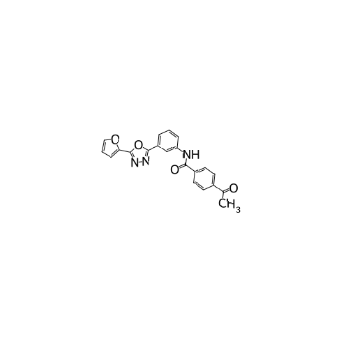 CC(=O)c1ccc(C(=O)Nc2cccc(-c3nnc(-c4ccco4)o3)c2)cc1